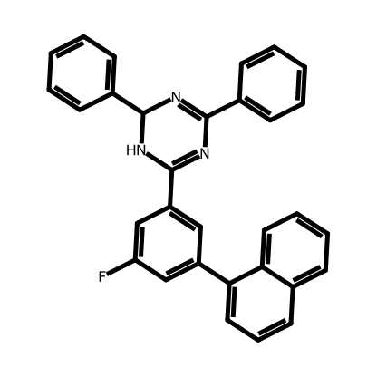 Fc1cc(C2=NC(c3ccccc3)=NC(c3ccccc3)N2)cc(-c2cccc3ccccc23)c1